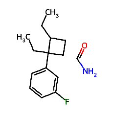 CCC1CCC1(CC)c1cccc(F)c1.NC=O